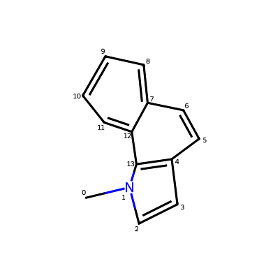 Cn1ccc2ccc3ccccc3c21